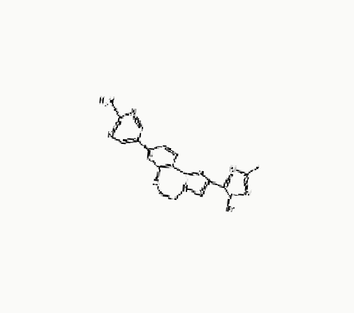 Cc1nc(-c2cn3c(n2)-c2ccc(-c4cnc(N)nc4)cc2OCC3)n(C(C)C)n1